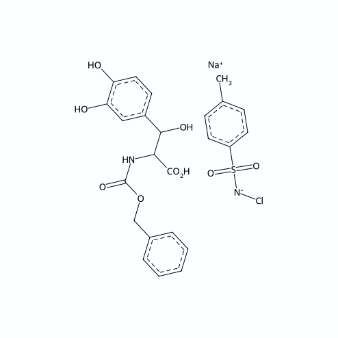 Cc1ccc(S(=O)(=O)[N-]Cl)cc1.O=C(NC(C(=O)O)C(O)c1ccc(O)c(O)c1)OCc1ccccc1.[Na+]